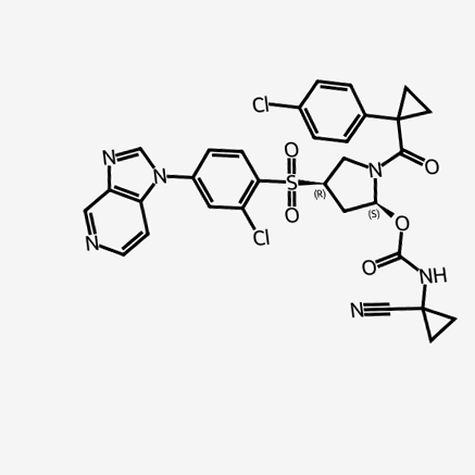 N#CC1(NC(=O)O[C@H]2C[C@@H](S(=O)(=O)c3ccc(-n4cnc5cnccc54)cc3Cl)CN2C(=O)C2(c3ccc(Cl)cc3)CC2)CC1